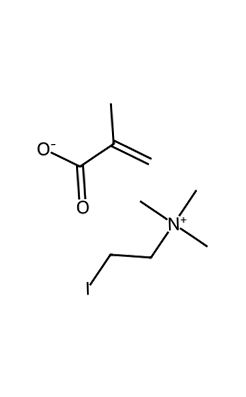 C=C(C)C(=O)[O-].C[N+](C)(C)CCI